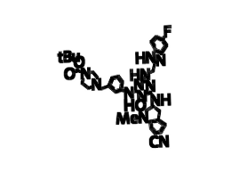 CNC(O)[C@H](Cc1ccc(C#N)cc1)Nc1nc(NCc2nc3cc(F)ccc3[nH]2)nc(Nc2cccc(CN3CCN(C(=O)OC(C)(C)C)CC3)c2)n1